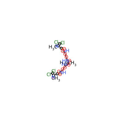 CN1Cc2c(Cl)cc(Cl)cc2C(c2ccc(S(=O)(=O)NCCOCCOCCNC(=O)C(C)(C)C(=O)NCCOCCOCCNS(=O)(=O)c3ccc(C4CN(C)Cc5c(Cl)cc(Cl)cc54)cc3)cc2)C1